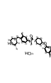 Cc1cc(N(C)C(=O)[C@H]2CC[C@H](Oc3ccc(F)cn3)CC2)ccc1CN1CCN[C@@H](C)C1.Cl